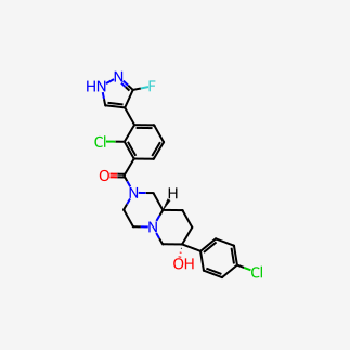 O=C(c1cccc(-c2c[nH]nc2F)c1Cl)N1CCN2C[C@](O)(c3ccc(Cl)cc3)CC[C@H]2C1